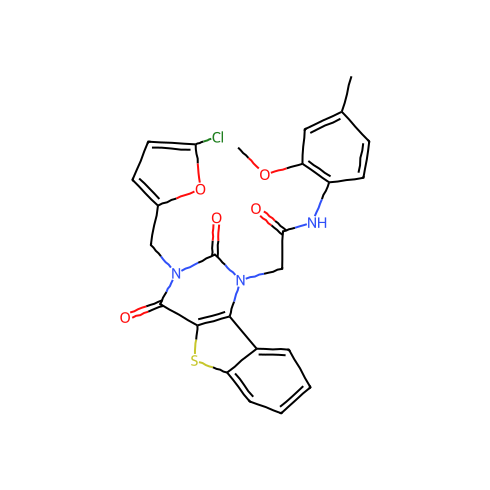 COc1cc(C)ccc1NC(=O)Cn1c(=O)n(Cc2ccc(Cl)o2)c(=O)c2sc3ccccc3c21